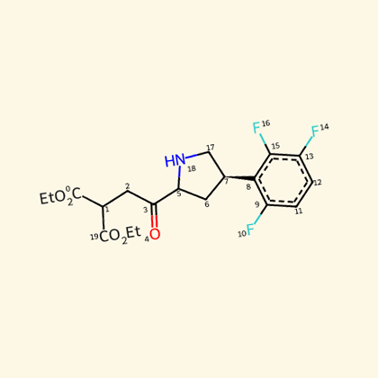 CCOC(=O)C(CC(=O)C1C[C@H](c2c(F)ccc(F)c2F)CN1)C(=O)OCC